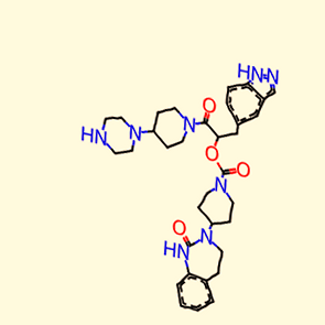 O=C(OC(Cc1ccc2[nH]ncc2c1)C(=O)N1CCC(N2CCNCC2)CC1)N1CCC(N2CCc3ccccc3NC2=O)CC1